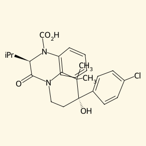 CC(C)[C@H](C(=O)N1CC[C@](O)(c2ccc(Cl)cc2)C(C)(C)C1)N(C(=O)O)c1ccccc1